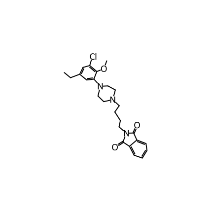 CCc1cc(Cl)c(OC)c(N2CCN(CCCCN3C(=O)c4ccccc4C3=O)CC2)c1